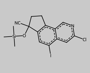 C[Si](C)(C)OC1(C#N)CCc2c1cc(I)c1cc(Cl)ncc21